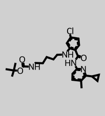 Cc1ccc(NC(=O)c2ccc(Cl)cc2NCCCCCNC(=O)OC(C)(C)C)nc1C1CC1